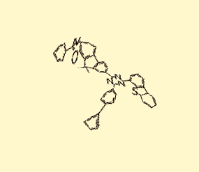 CC1(C)c2cc(-c3nc(-c4ccc(-c5ccccc5)cc4)nc(-c4cccc5c4SC4C=CC=CC54)n3)ccc2-c2ccc3nc(-c4ccccc4)oc3c21